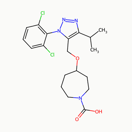 CC(C)c1nnn(-c2c(Cl)cccc2Cl)c1COC1CCCN(C(=O)O)CC1